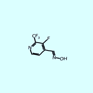 ON=Cc1ccnc(C(F)(F)F)c1F